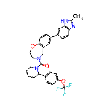 Cc1nc2ccc(-c3ccc4c(c3)CN(C(=O)N3CCCCC3c3ccc(OC(F)(F)F)cc3)CCO4)cc2[nH]1